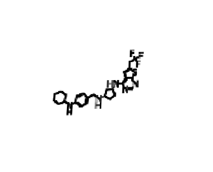 FC(F)(F)Cc1cc2c(N[C@@H]3CC[C@H](NCc4ccc(NC5CCCCC5)cc4)C3)ncnc2s1